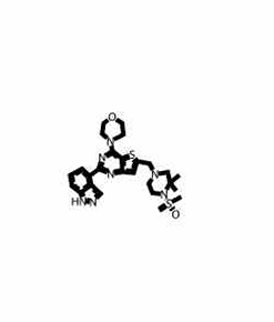 C=S(C)(=O)N1CCN(Cc2cc3nc(-c4cccc5[nH]ncc45)nc(N4CCOCC4)c3s2)CC1(C)C